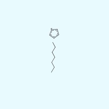 CCCCCCC.c1ccsc1